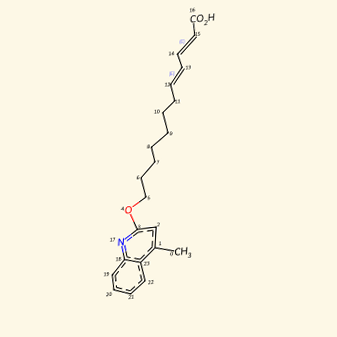 Cc1cc(OCCCCCCC/C=C/C=C/C(=O)O)nc2ccccc12